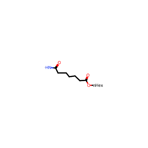 CCCCCCOC(=O)CCCCCC([NH])=O